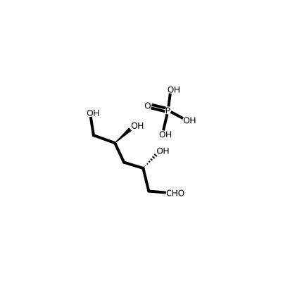 O=CC[C@@H](O)C[C@H](O)CO.O=P(O)(O)O